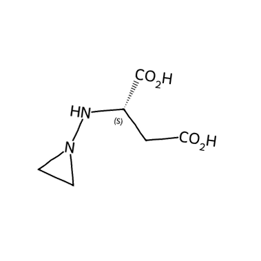 O=C(O)C[C@H](NN1CC1)C(=O)O